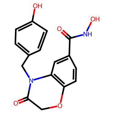 O=C(NO)c1ccc2c(c1)N(Cc1ccc(O)cc1)C(=O)CO2